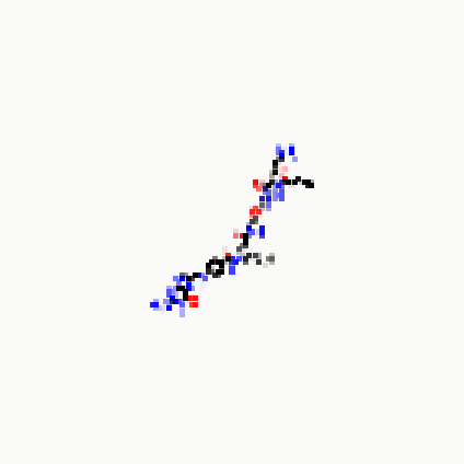 C#CCCC(=O)N[C@H](CCCCN)C(=O)NCCOCCNC(=O)CC[C@H](NC(=O)c1ccc(NCc2cnc3nc(N)[nH]c(=O)c3n2)cc1)C(=O)O